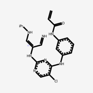 C=CC(=O)Nc1cccc(Nc2nc(N/C(C=N)=C/NC(C)C)ncc2Cl)c1